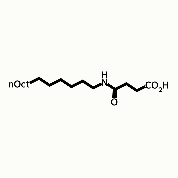 CCCCCCCCCCCCCCNC(=O)CCC(=O)O